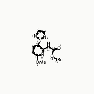 COc1ccc(-n2nccn2)c(NC(=O)OC(C)(C)C)n1